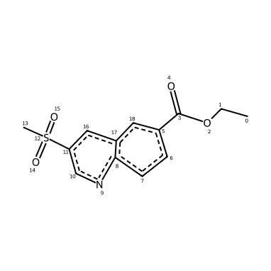 CCOC(=O)c1ccc2ncc(S(C)(=O)=O)cc2c1